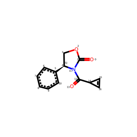 O=C1OC[C@H](c2ccccc2)N1C(=O)C1C=C1